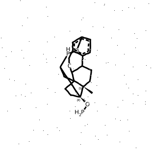 C[C@]12CCC3c4ccc5cc4CCC3C13CC[C@]2(OP)C(C3)PO5